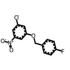 O=[N+]([O-])c1cc(Cl)cc(OCc2ccc(F)cc2)c1